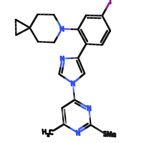 CSc1nc(C)cc(-n2cnc(-c3ccc(I)cc3N3CCC4(CC3)CC4)c2)n1